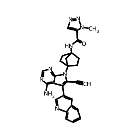 C#Cc1c(-c2cnc3ccccc3c2)c2c(N)ncnc2n1C12CCC(NC(=O)c3cnnn3C)(CC1)C2